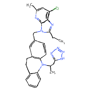 CCc1nc2c(Cl)cc(C)nc2n1Cc1ccc2c(c1)CCc1ccccc1N2C(C)c1nnn[nH]1